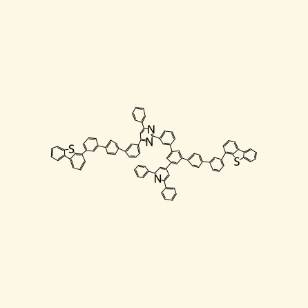 c1ccc(-c2cc(-c3cc(-c4ccc(-c5cccc(-c6cccc7c6sc6ccccc67)c5)cc4)cc(-c4cccc(-c5nc(-c6ccccc6)cc(-c6cccc(-c7ccc(-c8cccc(-c9cccc%10c9sc9ccccc9%10)c8)cc7)c6)n5)c4)c3)cc(-c3ccccc3)n2)cc1